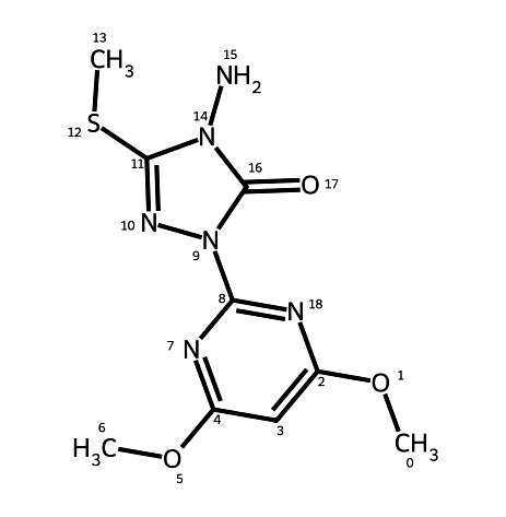 COc1cc(OC)nc(-n2nc(SC)n(N)c2=O)n1